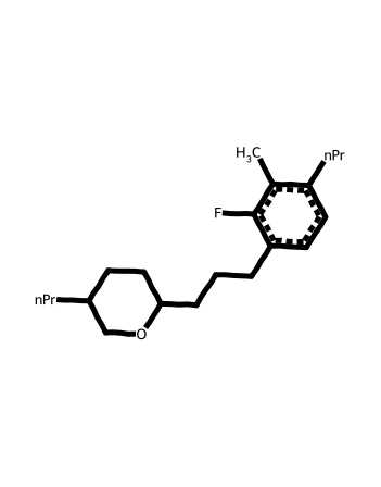 CCCc1ccc(CCCC2CCC(CCC)CO2)c(F)c1C